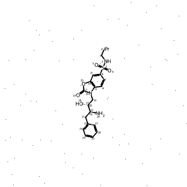 CC(C)CNS(=O)(=O)c1ccc2c(c1)oc(=O)n2C[C@@H](O)[C@@H](N)Cc1ccccc1